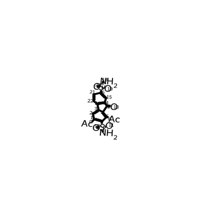 CC(=O)c1cc2c(c(C(C)=O)c1S(N)(=O)=O)C(=O)c1cc(S(N)(=O)=O)ccc1-2